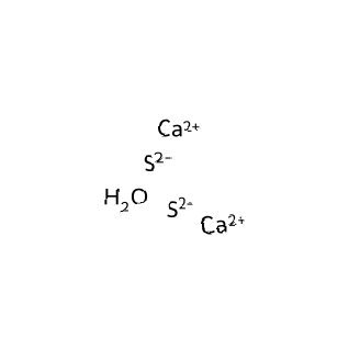 O.[Ca+2].[Ca+2].[S-2].[S-2]